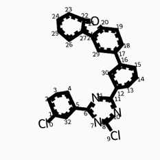 Clc1cccc(-c2nc(Cl)nc(-c3cccc(-c4ccc5oc6ccccc6c5c4)c3)n2)c1